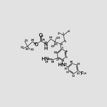 CC(C)CC(c1ccc(Nc2ccc(F)cc2)c(C=N)c1)C(C)(C)CNC(=O)OCC(C)(C)C